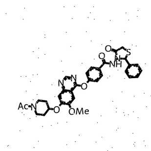 COc1cc2c(Oc3ccc(C(=O)NN4C(=O)CSC4c4ccccc4)cc3)ncnc2cc1OC1CCN(C(C)=O)CC1